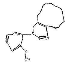 COc1ccccc1-c1cc2c(nn1)CCCCCC2